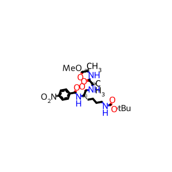 COC(=O)[C@H](C)NC(=O)[C@H](C)NC(=O)[C@H](CCCCNC(=O)OC(C)(C)C)NC(=O)c1ccc([N+](=O)[O-])cc1